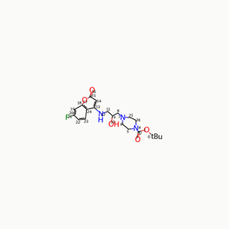 CC(C)(C)OC(=O)N1CCN(CC(O)CNc2cc(=O)oc3cc(F)ccc23)CC1